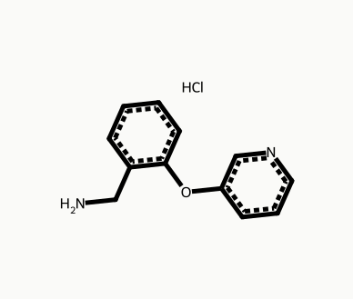 Cl.NCc1ccccc1Oc1cccnc1